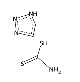 NC(=S)S.c1c[nH]nn1